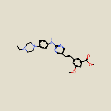 CCN1CCN(c2ccc(Nc3ncc(/C=C/c4cc(OC)cc(C(=O)OC)c4)cn3)cc2)CC1